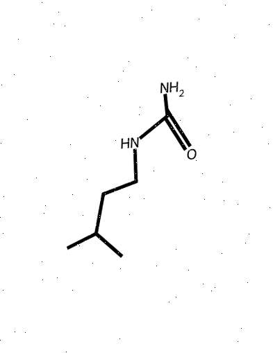 CC(C)CCNC(N)=O